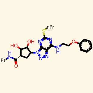 CCCSc1nc(NCCOc2ccccc2)c2nnn(C3C[C@H](C(=O)NCC)C(O)C3O)c2n1